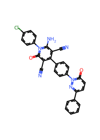 N#Cc1c(-c2ccc(-n3nc(-c4ccccc4)ccc3=O)cc2)c(C#N)c(=O)n(-c2ccc(Cl)cc2)c1N